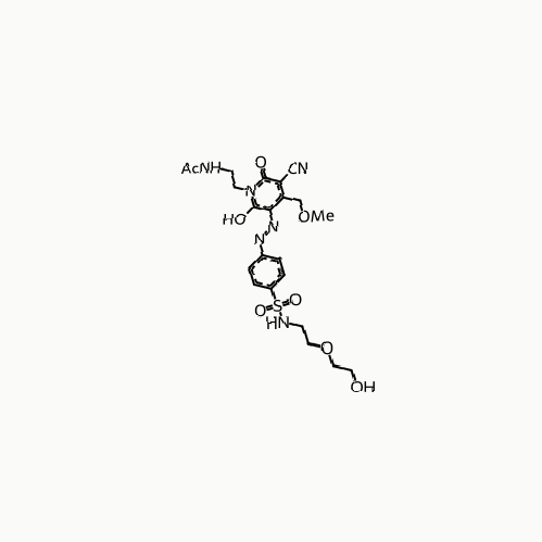 COCc1c(/N=N/c2ccc(S(=O)(=O)NCCOCCO)cc2)c(O)n(CCNC(C)=O)c(=O)c1C#N